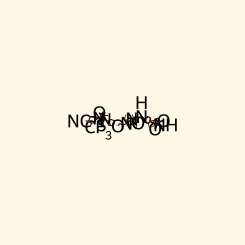 C[C@@H]1CN(CCO[C@H]2CC[C@H](N3C(=S)N(c4ccc(C#N)c(C(F)(F)F)c4)C(=O)C3(C)C)CC2)C[C@H](C)N1CC(=O)Nc1ccc([C@]2(C)CCC(=O)NC2=O)cc1